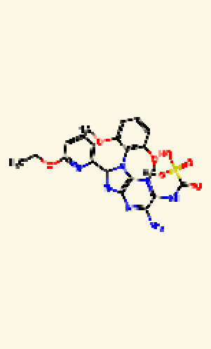 CCOc1cccc(-c2nc3nc(N)c(NC(=O)S(=O)(=O)O)nc3n2-c2c(OC)cccc2OC)n1